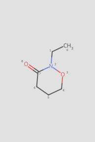 CCN1OCCCC1=O